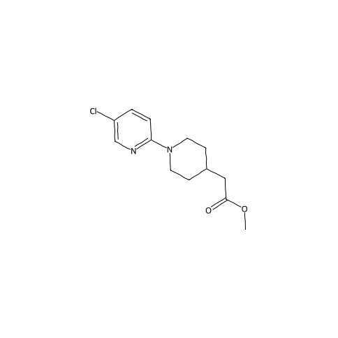 COC(=O)CC1CCN(c2ccc(Cl)cn2)CC1